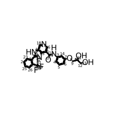 O=C(Nc1cccc(OC[C@@H](O)CO)c1)c1cncc2[nH]c(-c3ccccc3C(F)(F)F)nc12